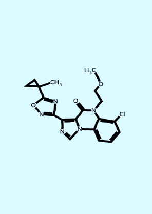 COCCn1c(=O)c2c(-c3noc(C4(C)CC4)n3)ncn2c2cccc(Cl)c21